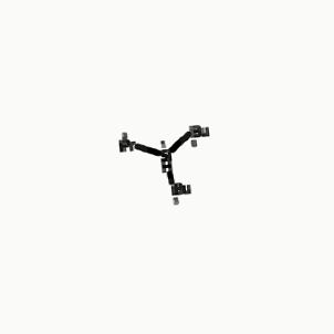 CCC(C)[SiH](C(C)C)C(C)CC